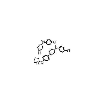 CN(c1ccc(Cl)cc1)C1CCN(c2ccc(OC3CCCCO3)cc2)CC1.CN(c1ccc(Cl)cc1)C1CCNCC1